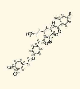 NCCCCC(NC(=O)c1ccc(F)cc1F)C(=O)c1noc(Cc2ccc(OCCc3ccc(Cl)c(Cl)c3)cc2)n1